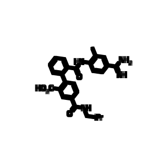 Cc1cc(C(=N)N)ccc1NC(=O)c1ccccc1-c1ccc(C(=O)NCC(C)C)cc1C(=O)O